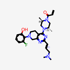 C=CC(=O)N1C[C@H](C)N(c2nc(/C=C/CN(C)C)nc3c2CCN(c2c(O)cccc2F)C3)C[C@H]1C